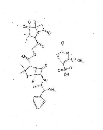 CC1(C)S[C@@H]2[C@H](NC(=O)C(N)c3ccccc3)C(=O)N2[C@H]1C(=O)OCC(=O)[C@@H]1N2C(=O)C[C@H]2S(=O)(=O)C1(C)C.O.O.O=S(=O)(O)c1ccc(Cl)cc1